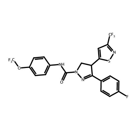 O=C(Nc1ccc(OC(F)(F)F)cc1)N1CC(c2cc(C(F)(F)F)ns2)C(c2ccc(F)cc2)=N1